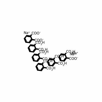 O=C(O)c1ccccc1C(=O)O.O=C(O)c1ccccc1C(=O)O.O=C(O)c1ccccc1C(=O)O.O=C(O)c1ccccc1C(=O)O.O=C([O-])c1ccccc1C(=O)O.O=C([O-])c1ccccc1C(=O)[O-].[Na+].[Na+].[Na+]